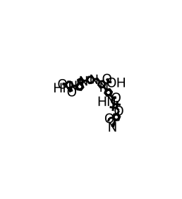 COc1cc(OC2C(C)(C)C(NC(=O)c3ccc(N4CCC(CN5CCC(n6ccc7c(N8CCC(=O)NC8=O)cccc76)CC5)CC4)cc3)C2(C)C)ccc1C#N.O=CO